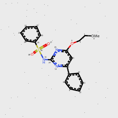 COCCOc1cc(-c2ccccc2)nc(NS(=O)(=O)c2ccccc2)n1